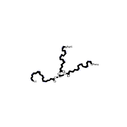 CC/C=C\C/C=C\C/C=C\C/C=C\C/C=C\CCCC(=O)OC[C@@H](COC(=O)CCC/C=C\C/C=C\C/C=C\C/C=C\CCCCC)OC(=O)CCC/C=C\C/C=C\C/C=C\C/C=C\CCCCC